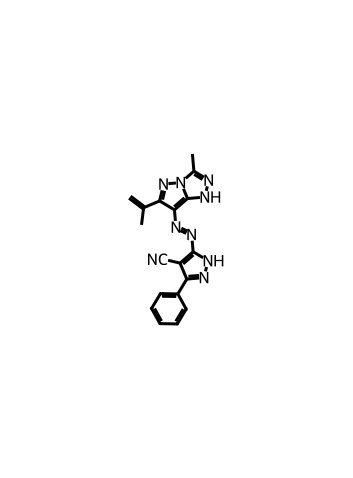 C=C(C)c1nn2c(C)n[nH]c2c1N=Nc1[nH]nc(-c2ccccc2)c1C#N